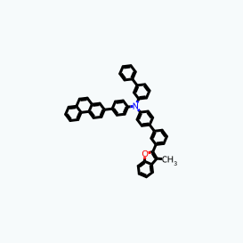 Cc1c(-c2cccc(-c3ccc(N(c4ccc(-c5ccc6c(ccc7ccccc76)c5)cc4)c4cccc(-c5ccccc5)c4)cc3)c2)oc2ccccc12